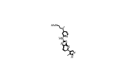 CNCCN(C)c1ccnc(Nc2nc3ccc(-c4cn[nH]c4C)nc3s2)c1